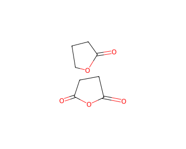 O=C1CCC(=O)O1.O=C1CCCO1